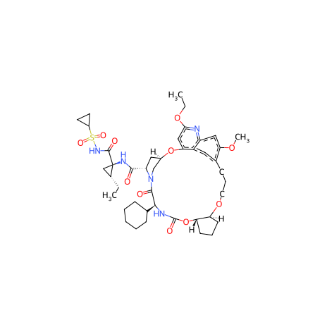 CCOc1cc2c3cc(c(OC)cc3n1)CCCO[C@H]1CCC[C@@H]1OC(=O)N[C@@H](C1CCCCC1)C(=O)N1C[C@@H](C[C@H]1C(=O)N[C@]1(C(=O)NS(=O)(=O)C3CC3)C[C@H]1CC)O2